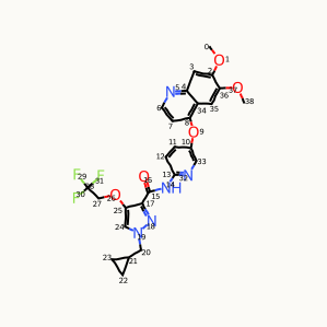 COc1cc2nccc(Oc3ccc(NC(=O)c4nn(CC5CC5)cc4OCC(F)(F)F)nc3)c2cc1OC